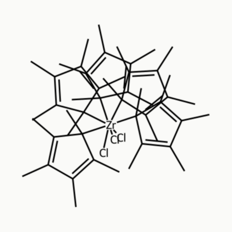 CC1=C(C)[C](C)([Zr]([Cl])([Cl])([Cl])([C]2(C)C(C)=C(C)C(C)=C2C)([C]2(C)C(C)=C(C)C(C)=C2C)([C]2(C)C(C)=C(C)C(C)=C2C)[C]2(C)C(C)=C(C)C(C)=C2C)C(C)=C1C